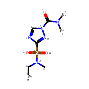 CCN(CC)C(=O)n1cnc(S(=O)(=O)N(C)CC(C)C)n1